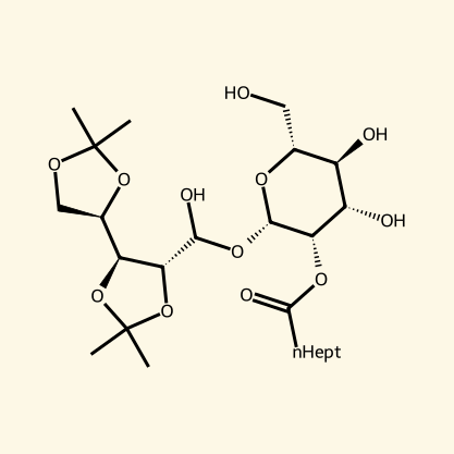 CCCCCCCC(=O)O[C@@H]1[C@H](OC(O)[C@@H]2OC(C)(C)O[C@H]2[C@H]2COC(C)(C)O2)O[C@H](CO)[C@@H](O)[C@@H]1O